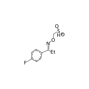 CCC(=NOC[SH](=O)=O)c1ccc(F)cc1